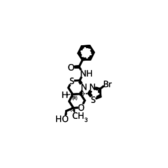 C[C@@]1(CO)C[C@H]2CSC(NC(=O)c3ccccc3)=N[C@@]2(c2nc(Br)cs2)CO1